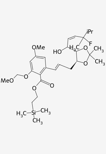 COCOc1cc(OC)cc(/C=C/C[C@@H]2OC(C)(C)OC2C(O)/C=C\C(C)(F)C(C)C)c1C(=O)OCC[Si](C)(C)C